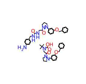 CC(C)(C)N(CC(=O)N1CCCN1c1cccc(OCc2ccccc2)c1)C(=O)O.Nc1ccc(CNC(=O)NCC(=O)N2CCCN2c2cccc(OCc3ccccc3)c2)cc1